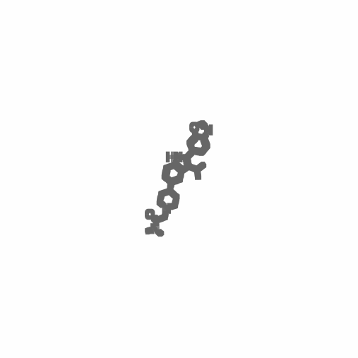 CC(C)c1c(-c2ccc3ncoc3c2)[nH]c2ccc(C3CCN(CC(=O)N(C)C)CC3)cc12